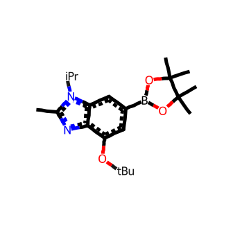 Cc1nc2c(OC(C)(C)C)cc(B3OC(C)(C)C(C)(C)O3)cc2n1C(C)C